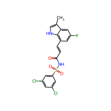 Cc1c[nH]c2c(C=CC(=O)NS(=O)(=O)c3cc(Cl)cc(Cl)c3)cc(F)cc12